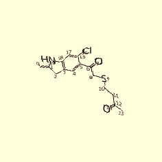 C=C1Cc2cc(C(=O)CSCCC(C)=O)c(Cl)cc2N1